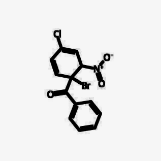 O=C(c1ccccc1)C1(Br)C=CC(Cl)=CC1[N+](=O)[O-]